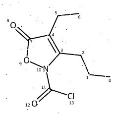 CCCc1c(CC)c(=O)on1C(=O)Cl